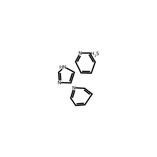 S.c1c[nH]cn1.c1ccncc1.c1ccncc1